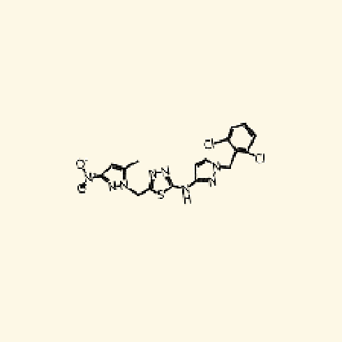 Cc1cc([N+](=O)[O-])nn1Cc1nnc(Nc2ccn(Cc3c(Cl)cccc3Cl)n2)s1